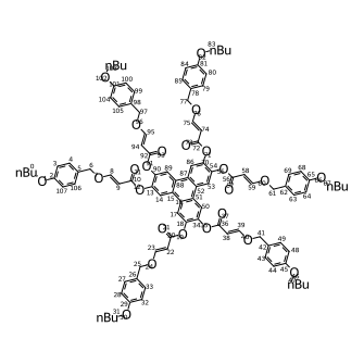 CCCCOc1ccc(CO/C=C/C(=O)Oc2cc3c4cc(OC(=O)/C=C/OCc5ccc(OCCCC)cc5)c(OC(=O)/C=C/OCc5ccc(OCCCC)cc5)cc4c4cc(OC(=O)/C=C/OCc5ccc(OCCCC)cc5)c(OC(=O)/C=C/OCc5ccc(OCCCC)cc5)cc4c3cc2OC(=O)/C=C/OCc2ccc(OCCCC)cc2)cc1